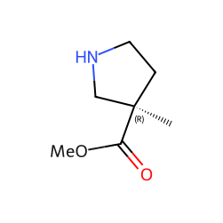 COC(=O)[C@]1(C)CCNC1